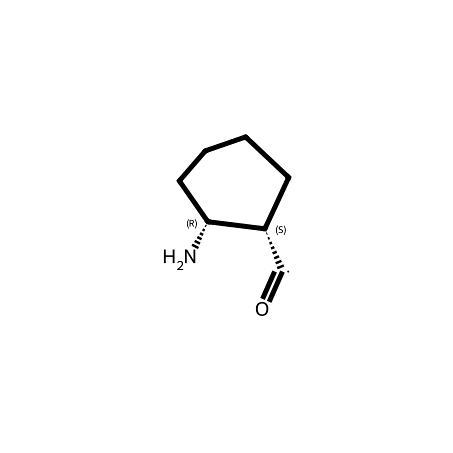 N[C@@H]1CCCC[C@@H]1[C]=O